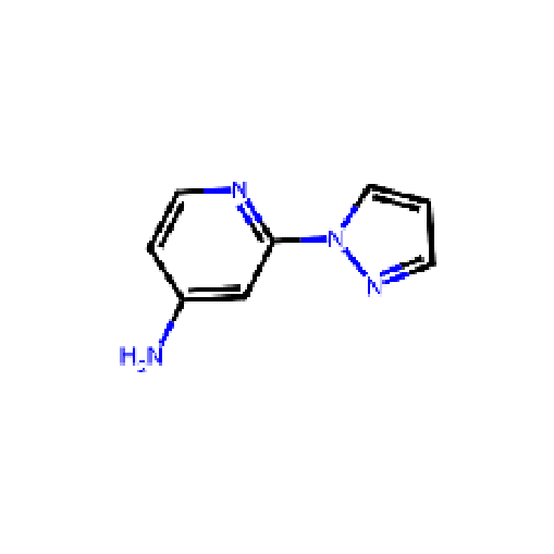 Nc1ccnc(-n2cccn2)c1